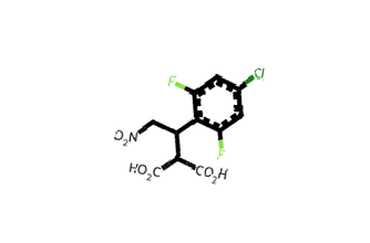 O=C(O)C(C(=O)O)C(C[N+](=O)[O-])c1c(F)cc(Cl)cc1F